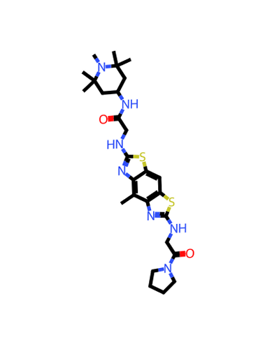 Cc1c2nc(NCC(=O)NC3CC(C)(C)N(C)C(C)(C)C3)sc2cc2sc(NCC(=O)N3CCCC3)nc12